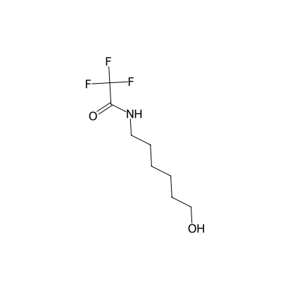 O=C(NCCCCCCO)C(F)(F)F